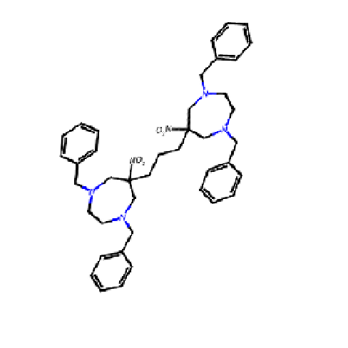 O=[N+]([O-])C1(CCCC2([N+](=O)[O-])CN(Cc3ccccc3)CCN(Cc3ccccc3)C2)CN(Cc2ccccc2)CCN(Cc2ccccc2)C1